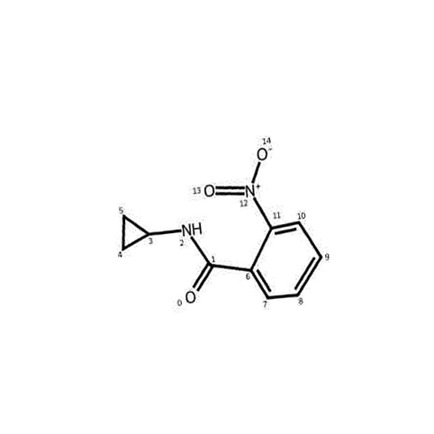 O=C(NC1CC1)c1ccccc1[N+](=O)[O-]